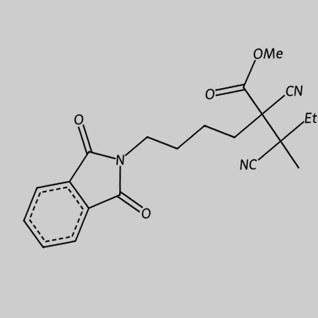 CCC(C)(C#N)C(C#N)(CCCCN1C(=O)c2ccccc2C1=O)C(=O)OC